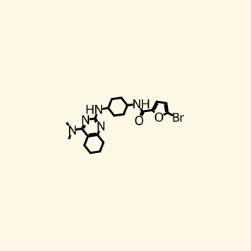 CN(C)c1nc(NC2CCC(NC(=O)c3ccc(Br)o3)CC2)nc2c1CCCC2